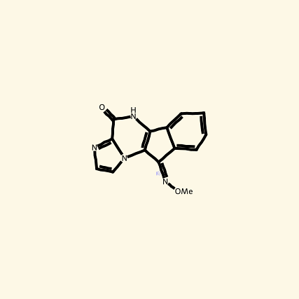 CO/N=C1\c2ccccc2-c2[nH]c(=O)c3nccn3c21